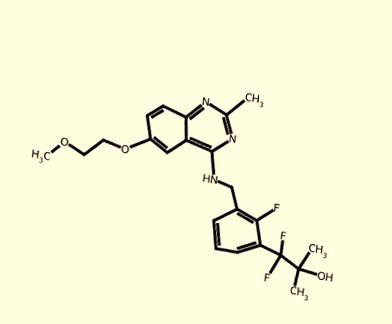 COCCOc1ccc2nc(C)nc(NCc3cccc(C(F)(F)C(C)(C)O)c3F)c2c1